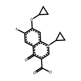 O=C(Cl)c1cn(C2CC2)c2cc(OC3CC3)c(F)cc2c1=O